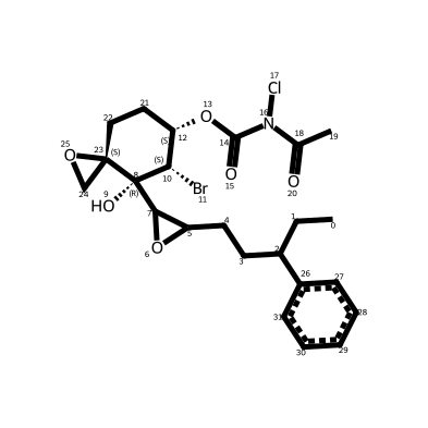 CCC(CCC1OC1[C@]1(O)[C@@H](Br)[C@@H](OC(=O)N(Cl)C(C)=O)CC[C@]12CO2)c1ccccc1